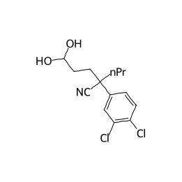 CCCC(C#N)(CCC(O)O)c1ccc(Cl)c(Cl)c1